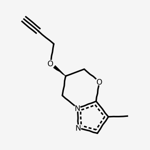 C#CCO[C@H]1COc2c(C)cnn2C1